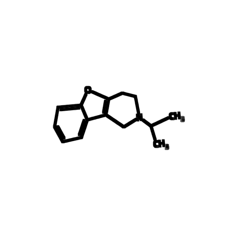 CC(C)N1CCc2oc3ccccc3c2C1